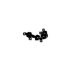 O=C1CO[C@H]2CCN(C(=O)N3CCC(C#Cc4ccc(Cl)cc4Cl)CC3)C[C@H]2N1